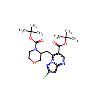 CC(C)(C)OC(=O)c1cnc2cc(Cl)nn2c1CC1COCCN1C(=O)OC(C)(C)C